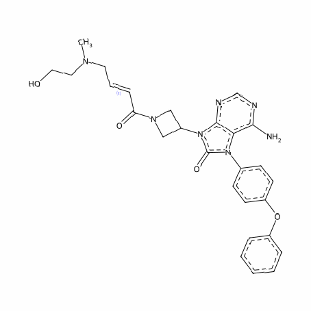 CN(C/C=C/C(=O)N1CC(n2c(=O)n(-c3ccc(Oc4ccccc4)cc3)c3c(N)ncnc32)C1)CCO